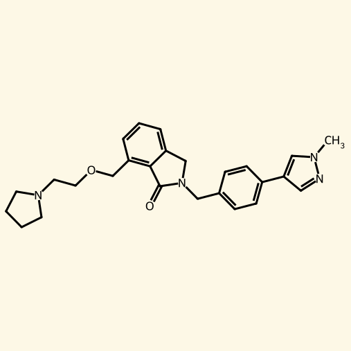 Cn1cc(-c2ccc(CN3Cc4cccc(COCCN5CCCC5)c4C3=O)cc2)cn1